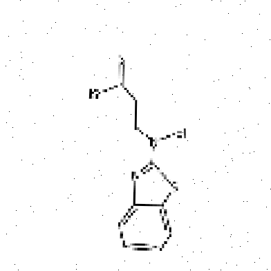 CCN(CCC(=S)S)c1nc2ccccc2s1